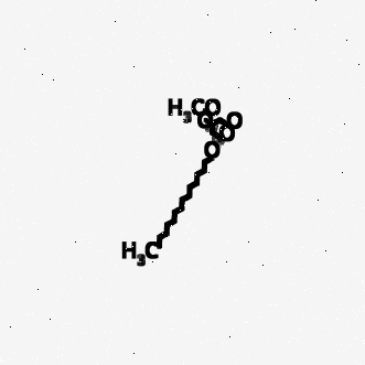 CCCCCCCCCCCCCCCCOC[C@@H]1C[C@@H](OC(C)=O)CC(=O)O1